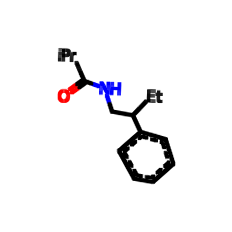 CCC(CNC(=O)C(C)C)c1ccccc1